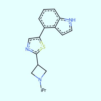 CC(C)N1CC(c2ncc(-c3cccc4[nH]ccc34)s2)C1